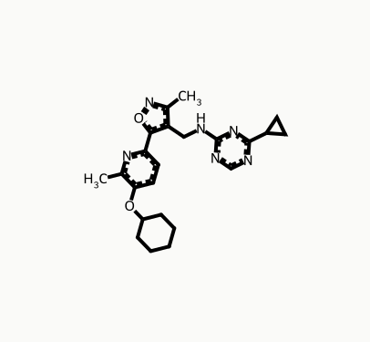 Cc1nc(-c2onc(C)c2CNc2ncnc(C3CC3)n2)ccc1OC1CCCCC1